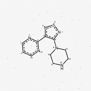 c1cnc(-c2nsnc2N2CCNCC2)nc1